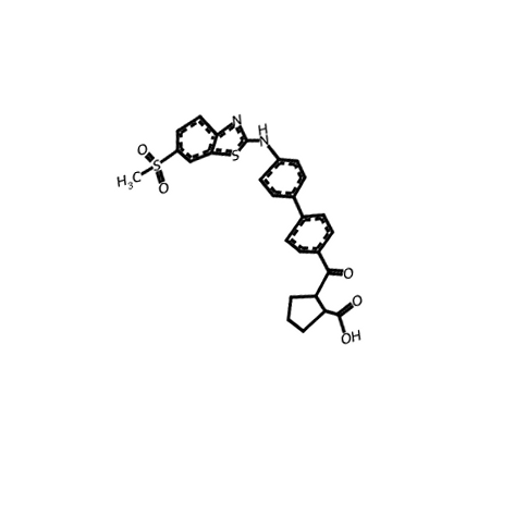 CS(=O)(=O)c1ccc2nc(Nc3ccc(-c4ccc(C(=O)C5CCCC5C(=O)O)cc4)cc3)sc2c1